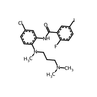 CN(C)CCCN(C)c1ccc(Cl)cc1NC(=O)c1cc(I)ccc1F